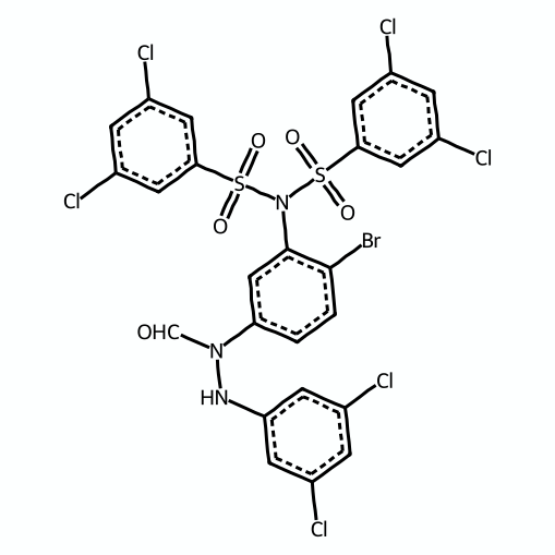 O=CN(Nc1cc(Cl)cc(Cl)c1)c1ccc(Br)c(N(S(=O)(=O)c2cc(Cl)cc(Cl)c2)S(=O)(=O)c2cc(Cl)cc(Cl)c2)c1